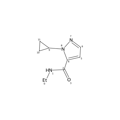 CCNC(=O)c1ccnn1C1CC1